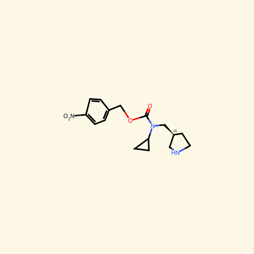 O=C(OCc1ccc([N+](=O)[O-])cc1)N(C[C@H]1CCNC1)C1CC1